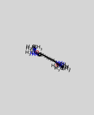 CC(C/N=N/C(C)(C)C)NC(=O)Nc1ccc(CCCCCCCCCCCCCCNC(=O)NC(C)(C)/N=N/C(C)(C)C)cc1